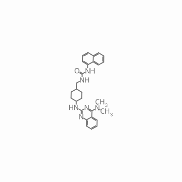 CN(C)c1nc(NC2CCC(CNC(=O)Nc3cccc4ccccc34)CC2)nc2ccccc12